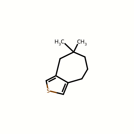 CC1(C)CCCc2cscc2C1